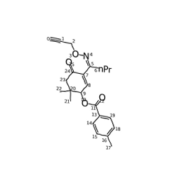 C#CCO/N=C(/CCC)C1=CC(OC(=O)c2ccc(C)cc2)C(C)(C)CC1=O